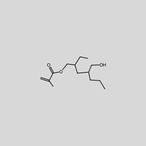 C=C(C)C(=O)OCC(CC)CC(CO)CCC